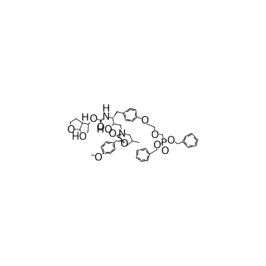 COc1ccc(S(=O)(=O)N(CC(C)C)C[C@@H](O)[C@H](Cc2ccc(OCCOCP(=O)(OCc3ccccc3)OCc3ccccc3)cc2)NC(=O)O[C@H]2CO[C@H]3OCC[C@H]32)cc1